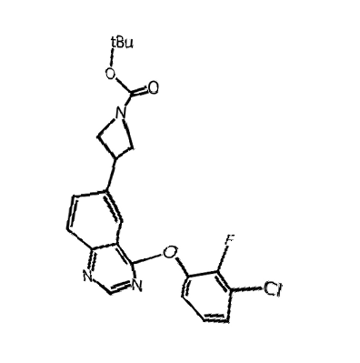 CC(C)(C)OC(=O)N1CC(c2ccc3ncnc(Oc4cccc(Cl)c4F)c3c2)C1